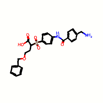 NCc1ccc(C(=O)Nc2ccc(S(=O)(=O)C(CCOCc3ccccc3)C(=O)O)cc2)cc1